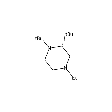 CCN1CCN(C(C)(C)C)[C@H](C(C)(C)C)C1